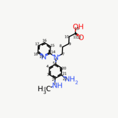 CNc1ccc(N(CCCCC(=O)O)c2ccccn2)cc1N